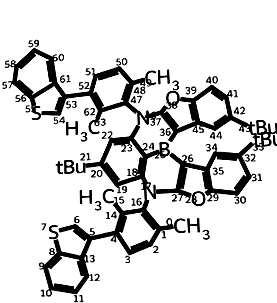 Cc1ccc(-c2csc3ccccc23)c(C)c1N1c2cc(C(C)(C)C)cc3c2B(c2c1oc1ccc(C(C)(C)C)cc21)c1c(oc2ccc(C(C)(C)C)cc12)N3c1c(C)ccc(-c2csc3ccccc23)c1C